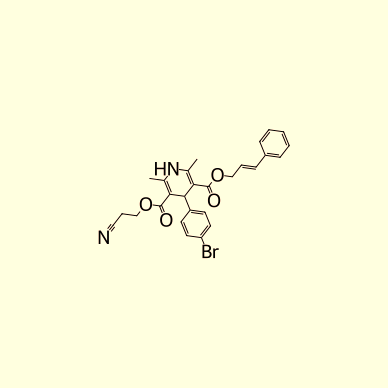 CC1=C(C(=O)OCC=Cc2ccccc2)C(c2ccc(Br)cc2)C(C(=O)OCCC#N)=C(C)N1